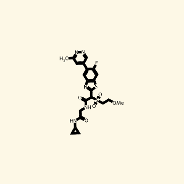 COCCS(=O)(=O)C(C(=O)NCC(=O)NC1CC1)c1nc2cc(-c3cnnc(C)c3)c(F)cc2s1